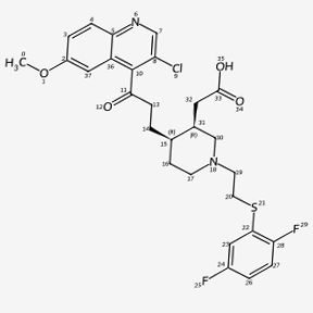 COc1ccc2ncc(Cl)c(C(=O)CC[C@@H]3CCN(CCSc4cc(F)ccc4F)C[C@@H]3CC(=O)O)c2c1